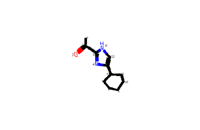 CC(=O)c1nc(C2CCCCC2)c[nH]1